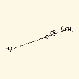 C=CC(=O)CCCCCC(=O)OC(=O)CCCCCCCCCCCCCCCCCCCCCCCCCCCC